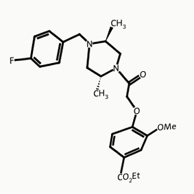 CCOC(=O)c1ccc(OCC(=O)N2C[C@H](C)N(Cc3ccc(F)cc3)C[C@H]2C)c(OC)c1